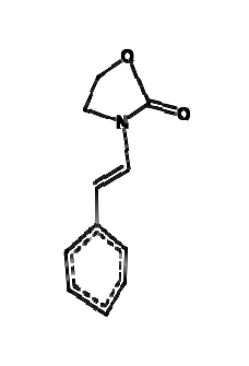 O=C1OCCN1C=Cc1ccccc1